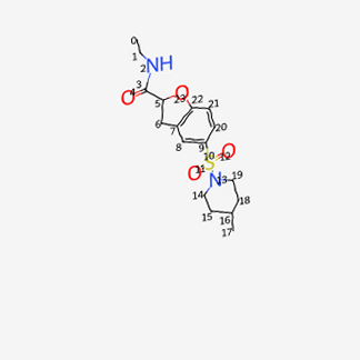 CCNC(=O)C1Cc2cc(S(=O)(=O)N3CCC(C)CC3)ccc2O1